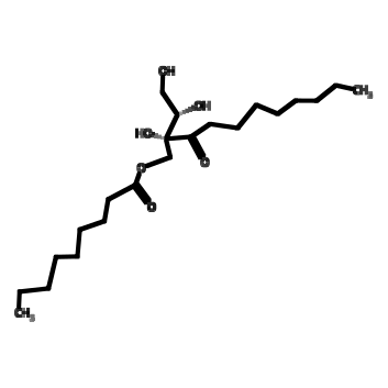 CCCCCCCCC(=O)OC[C@](O)(C(=O)CCCCCCCC)[C@@H](O)CO